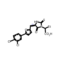 CCC(C(=O)O)N1C(=O)/C(=C\c2ccc(-c3ccc(Cl)c(Cl)c3)o2)NC1=S